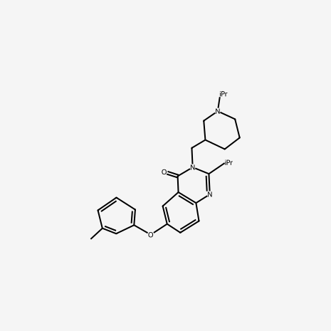 Cc1cccc(Oc2ccc3nc(C(C)C)n(CC4CCCN(C(C)C)C4)c(=O)c3c2)c1